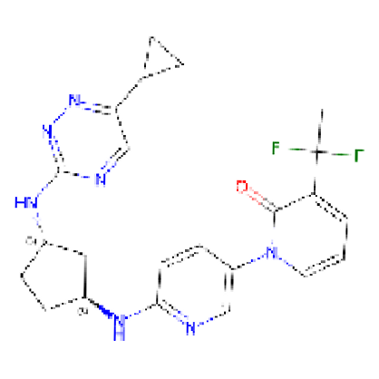 CC(F)(F)c1cccn(-c2ccc(N[C@H]3CC[C@H](Nc4ncc(C5CC5)nn4)C3)nc2)c1=O